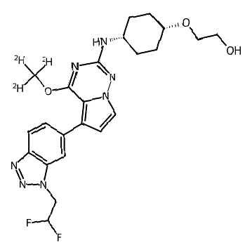 [2H]C([2H])([2H])Oc1nc(N[C@H]2CC[C@@H](OCCO)CC2)nn2ccc(-c3ccc4nnn(CC(F)F)c4c3)c12